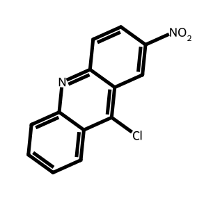 O=[N+]([O-])c1ccc2nc3ccccc3c(Cl)c2c1